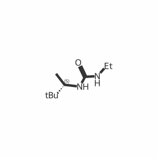 CCNC(=O)N[C@@H](C)C(C)(C)C